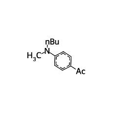 [CH2]C(=O)c1ccc(N(C)CCCC)cc1